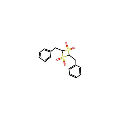 O=S1(=O)C(Cc2ccccc2)S(=O)(=O)C1Cc1ccccc1